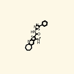 CNc1c(C(=O)Nc2nnc(-c3ccccc3)s2)sc2nc3c(cc12)CCCCC3